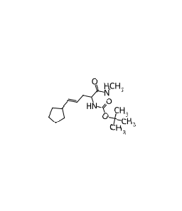 CNC(=O)C(CC=CC1CCCC1)NC(=O)OC(C)(C)C